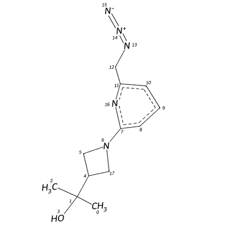 CC(C)(O)C1CN(c2cccc(CN=[N+]=[N-])n2)C1